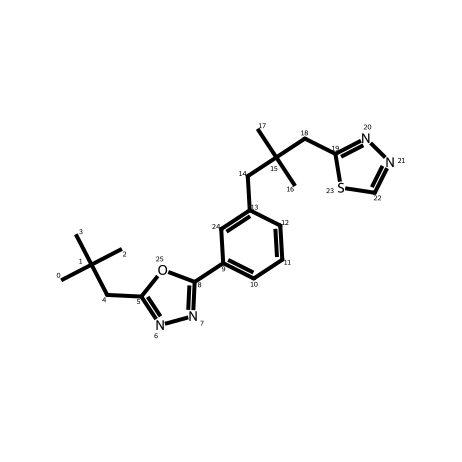 CC(C)(C)Cc1nnc(-c2cccc(CC(C)(C)Cc3nncs3)c2)o1